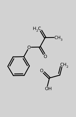 C=C(C)C(=O)Oc1ccccc1.C=CC(=O)O